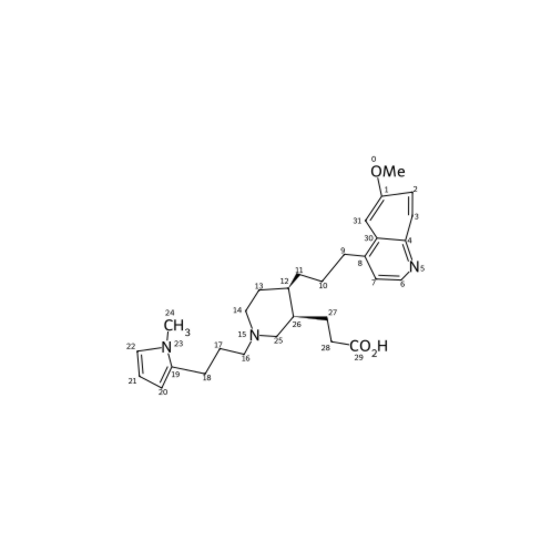 COc1ccc2nccc(CCC[C@@H]3CCN(CCCc4cccn4C)C[C@@H]3CCC(=O)O)c2c1